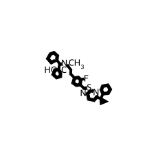 CC(CCc1ccc(-c2nc3ccc(C4(c5ccccc5)C=C4)nc3s2)c(F)c1)(N=C(c1ccccc1)c1ccccc1)C(=O)O